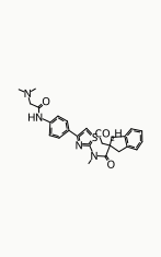 CN(C)CC(=O)Nc1ccc(-c2csc(N(C)C(=O)C3(CC(=O)O)Cc4ccccc4C3)n2)cc1